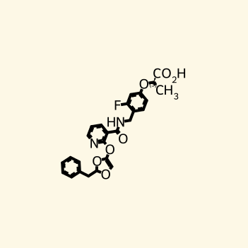 C[C@H](Oc1ccc(CNC(=O)c2cccnc2OC2=COC(Cc3ccccc3)O2)c(F)c1)C(=O)O